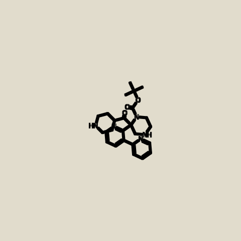 CC(C)(C)OC(=O)N1CCNCC1(C(=O)C1CCNCC1)c1ncccc1-c1ccccn1